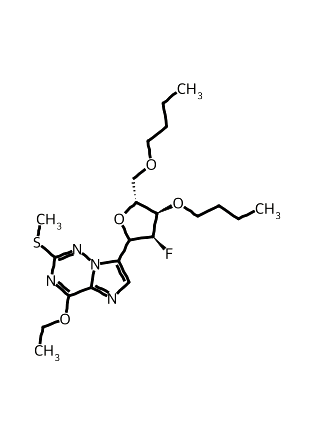 CCCCOC[C@H]1OC(c2cnc3c(OCC)nc(SC)nn23)[C@H](F)[C@@H]1OCCCC